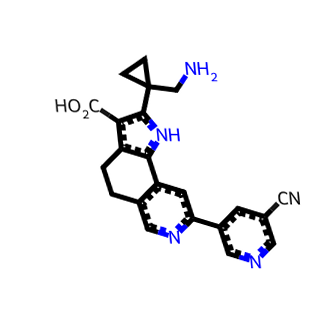 N#Cc1cncc(-c2cc3c(cn2)CCc2c-3[nH]c(C3(CN)CC3)c2C(=O)O)c1